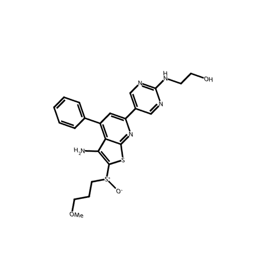 COCCC[S+]([O-])c1sc2nc(-c3cnc(NCCO)nc3)cc(-c3ccccc3)c2c1N